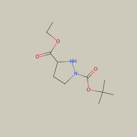 CCOC(=O)C1CCN(C(=O)OC(C)(C)C)N1